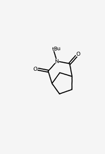 CC(C)(C)N1C(=O)C2CCC(C2)C1=O